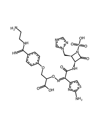 N=C(NCCN)c1ccc(OCC(O/N=C(\C(=O)N[C@@H]2C(=O)N(S(=O)(=O)O)[C@@H]2Cn2cncn2)c2csc(N)n2)C(=O)O)cc1